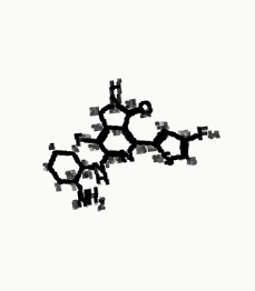 N[C@H]1CCCC[C@H]1Nc1nc(-c2cc(F)cs2)c2c(c1F)CNC2=O